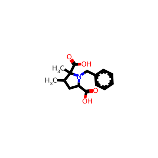 CC1CC(C(=O)O)N(Cc2ccccc2)C1(C)C(=O)O